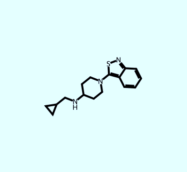 c1ccc2c(N3CCC(NCC4CC4)CC3)snc2c1